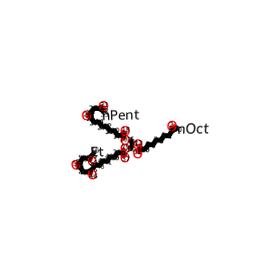 CCCCCCCCC1OC1CCCCCCCC(=O)OC(COC(=O)CCCCCCCC1OC1CC1OC1CCCCC)COC(=O)CCCCCCCC1OC1CC1OC1CC1OC1CC